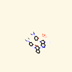 CCN(CC)c1ccc2nc3c4ccccc4c(=N)cc-3oc2c1.CCN(CC)c1ccc2nc3c4ccccc4c(=N)cc-3oc2c1.O=S(=O)(O)O